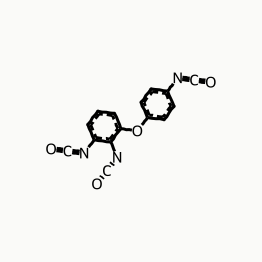 O=C=Nc1ccc(Oc2cccc(N=C=O)c2N=C=O)cc1